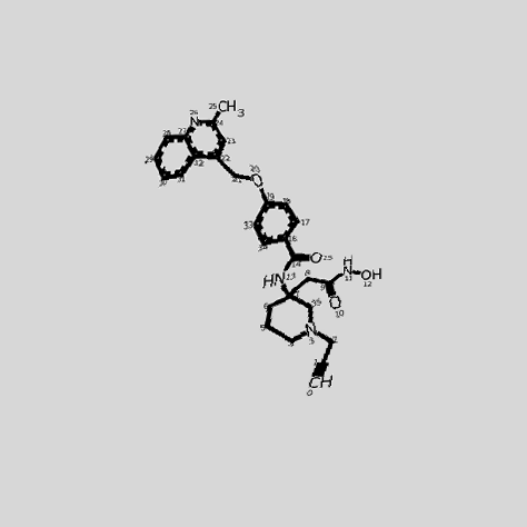 C#CCN1CCCC(CC(=O)NO)(NC(=O)c2ccc(OCc3cc(C)nc4ccccc34)cc2)C1